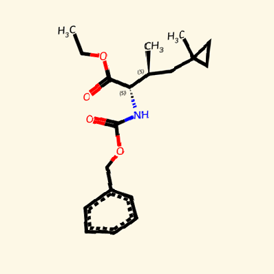 CCOC(=O)[C@@H](NC(=O)OCc1ccccc1)[C@@H](C)CC1(C)CC1